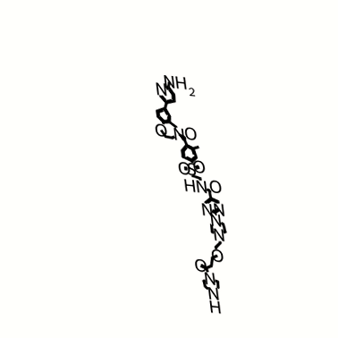 Cc1cc(S(=O)(=O)CCNC(=O)c2cnc(N3CCN(CCOCCC(=O)N4CCNCC4)CC3)nc2)ccc1C(=O)N1CCOc2ccc(-c3ccc(N)nc3)cc2C1